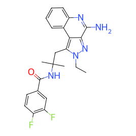 CCn1nc2c(N)nc3ccccc3c2c1CC(C)(C)NC(=O)c1ccc(F)c(F)c1